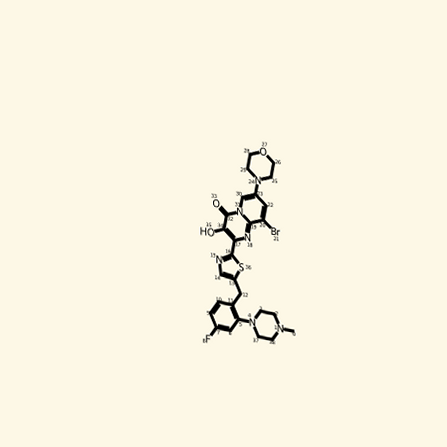 CN1CCN(c2cc(F)ccc2Cc2cnc(-c3nc4c(Br)cc(N5CCOCC5)cn4c(=O)c3O)s2)CC1